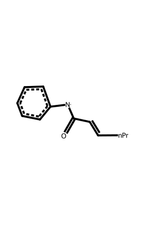 CCCC=CC(=O)[N]c1ccccc1